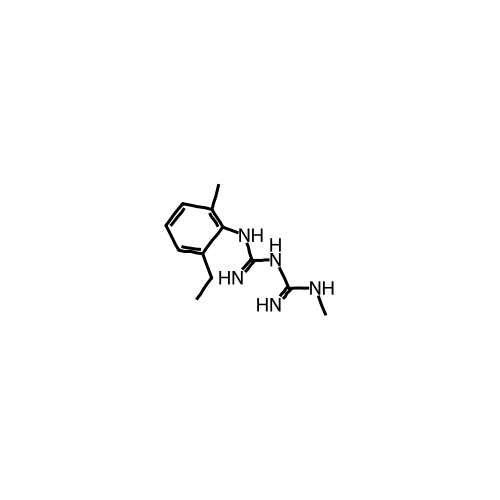 CCc1cccc(C)c1NC(=N)NC(=N)NC